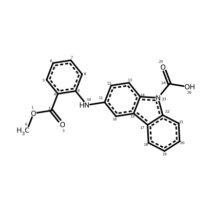 COC(=O)c1ccccc1Nc1ccc2c(c1)c1ccccc1n2C(=O)O